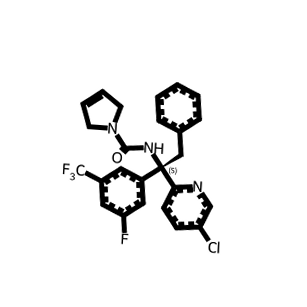 O=C(N[C@@](Cc1ccccc1)(c1cc(F)cc(C(F)(F)F)c1)c1ccc(Cl)cn1)N1CC=CC1